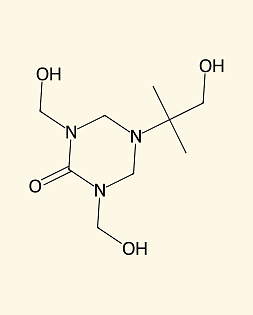 CC(C)(CO)N1CN(CO)C(=O)N(CO)C1